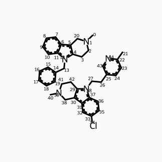 CN1CCc2c(c3ccccc3n2Cc2ccccc2)C1.Cc1ccc(CCn2c3c(c4cc(Cl)ccc42)CN(C)CC3)cn1